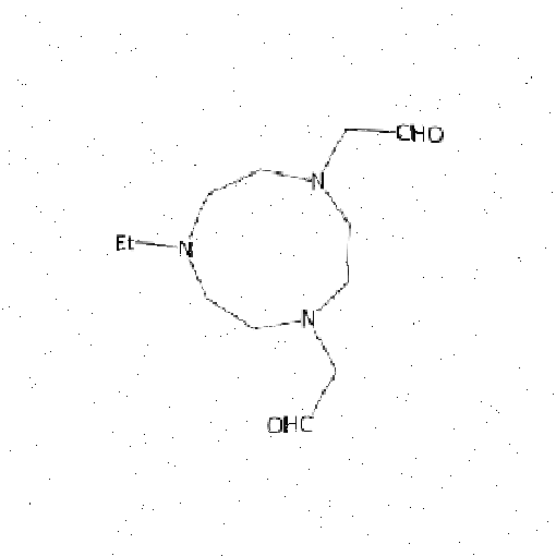 CCN1CCN(CC=O)CCN(CC=O)CC1